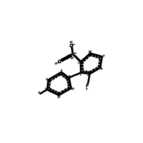 Cc1ccc(-c2c(F)cccc2[N+](=O)[O-])cc1